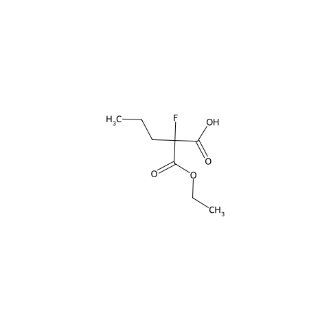 CCCC(F)(C(=O)O)C(=O)OCC